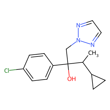 CC(C1CC1)C(O)(Cn1nccn1)c1ccc(Cl)cc1